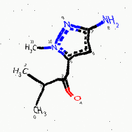 CC(C)C(=O)c1cc(N)nn1C